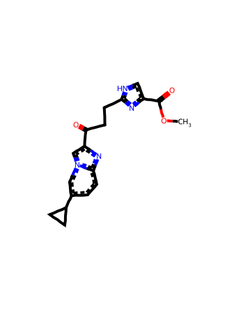 COC(=O)c1c[nH]c(CCC(=O)c2cn3cc(C4CC4)ccc3n2)n1